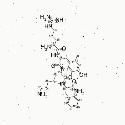 Cc1cc(O)cc2c1CC(NC(=O)C(N)CCCNC(=N)N)C(=O)N2[C@@H](CCCCCN)C(=O)N[C@@H](Cc1ccccc1)C(N)=O